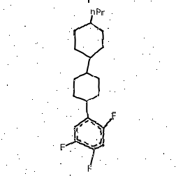 CCCC1CCC(C2CCC(c3cc(F)c(F)cc3F)CC2)CC1